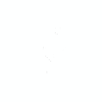 Cc1nn(CC(C)C)c(C)c1-c1ccc2c(c1)C(N(C)C)CC2